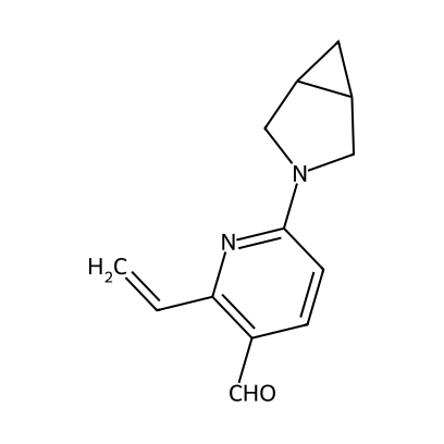 C=Cc1nc(N2CC3CC3C2)ccc1C=O